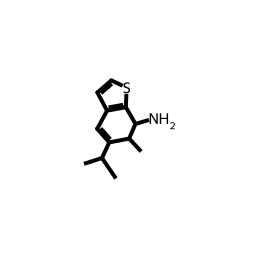 CC(C)C1=Cc2ccsc2C(N)C1C